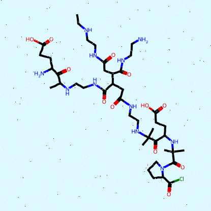 CCNCCNC(=O)CC(C(=O)NCCN)C(CC(=O)NCCNC(C)(C)C(=O)C(CCC(=O)O)NC(C)(C)C(=O)N1CCCC1C(=O)Cl)C(=O)NCCNC(C)C(=O)C(N)CCC(=O)O